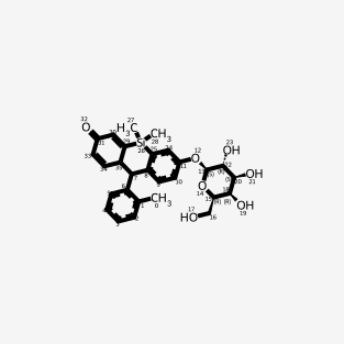 Cc1ccccc1C1c2ccc(O[C@@H]3O[C@H](CO)[C@H](O)[C@H](O)[C@H]3O)cc2[Si](C)(C)C2=CC(=O)C=CC21